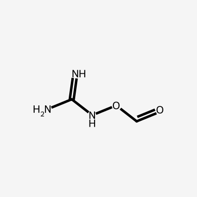 N=C(N)NOC=O